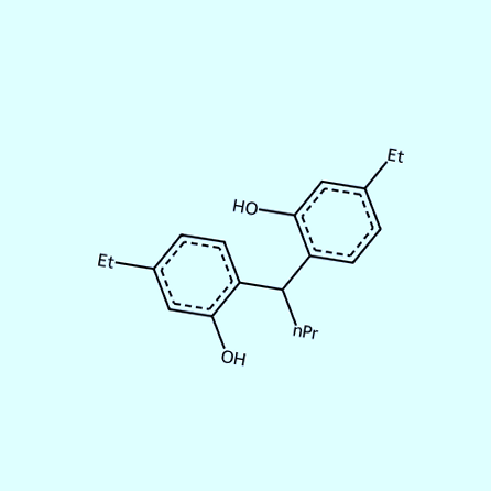 CCCC(c1ccc(CC)cc1O)c1ccc(CC)cc1O